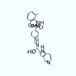 COc1cccc(C)c1NS(=O)(=O)c1ccc(CNC(O)c2cc3cnccc3[nH]2)cc1